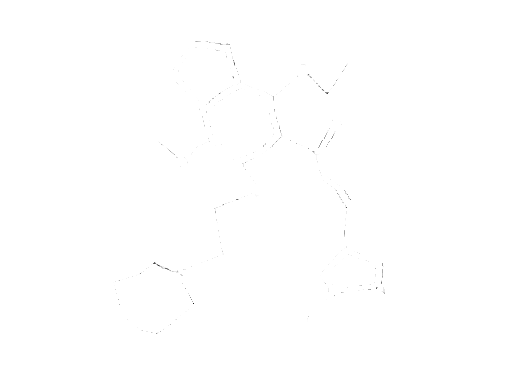 CCOc1c(C(=O)C=Cc2cnn(C)c2)c(OCCN2CCCCC2)c(OC)c2occc12